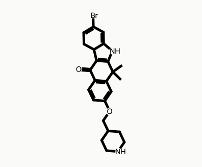 CC1(C)C2=C(C(=O)c3ccc(OCC4CCNCC4)cc31)C1CC=C(Br)C=C1N2